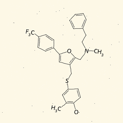 Cc1cc(SCc2cc(-c3ccc(C(F)(F)F)cc3)oc2CN(C)CCc2ccccc2)ccc1[O]